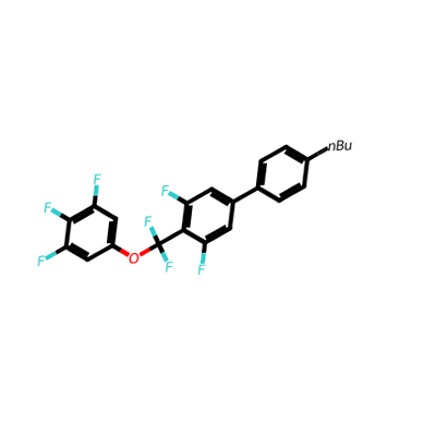 CCCCc1ccc(-c2cc(F)c(C(F)(F)Oc3cc(F)c(F)c(F)c3)c(F)c2)cc1